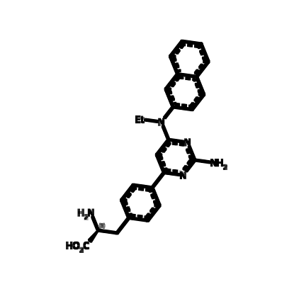 CCN(c1ccc2ccccc2c1)c1cc(-c2ccc(C[C@H](N)C(=O)O)cc2)nc(N)n1